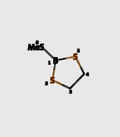 CSB1SCCS1